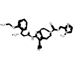 CCOc1ccccc1[C@@H](C)CC(=O)Nc1sc2c(c1C#N)CCN(C(=O)OCc1nccn1C)C2